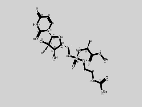 CC(C)OC(=O)[C@H](C)N[P@](=O)(OCCSC(=O)C(C)(C)C)OC[C@H]1O[C@@H](n2ccc(=O)[nH]c2=O)[C@@](F)(Cl)[C@@H]1O